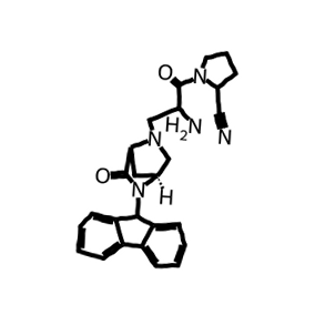 N#CC1CCCN1C(=O)C(N)CN1C[C@@H]2CC1C(=O)N2C1c2ccccc2-c2ccccc21